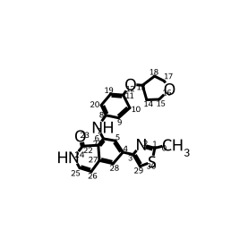 Cc1nc(-c2cc(Nc3ccc(OC4CCOCC4)cc3)c3c(=O)[nH]ccc3c2)cs1